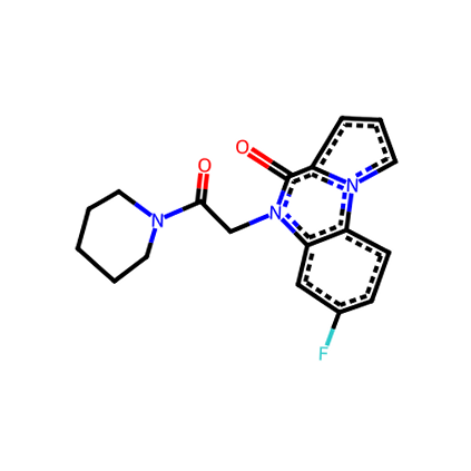 O=C(Cn1c(=O)c2cccn2c2ccc(F)cc21)N1CCCCC1